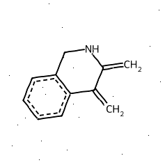 C=C1NCc2ccccc2C1=C